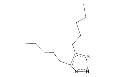 CCCCCc1nnsc1CCCCC